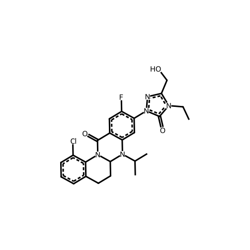 CCn1c(CO)nn(-c2cc3c(cc2F)C(=O)N2c4c(Cl)cccc4CCC2N3C(C)C)c1=O